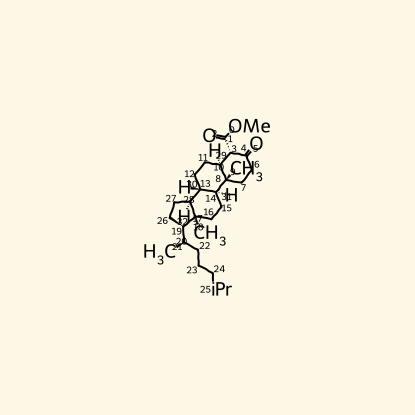 COC(=O)[C@@H]1C(=O)CC[C@@]2(C)[C@H]1CC[C@@H]1[C@@H]2CC[C@]2(C)[C@@H]([C@H](C)CCCC(C)C)CC[C@@H]12